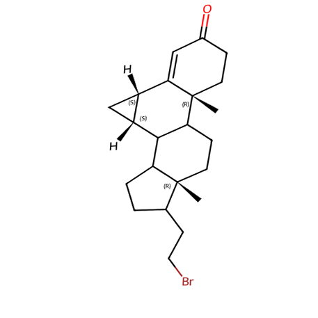 C[C@]12CCC3C(C1CCC2CCBr)[C@@H]1C[C@@H]1C1=CC(=O)CC[C@@]13C